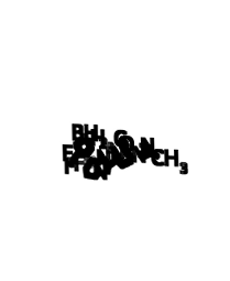 Bc1ccc([C@H]2CCCN3CC(c4ccc(-n5cnc(C)c5)c(OC)n4)N=C23)c(C(F)(F)F)c1